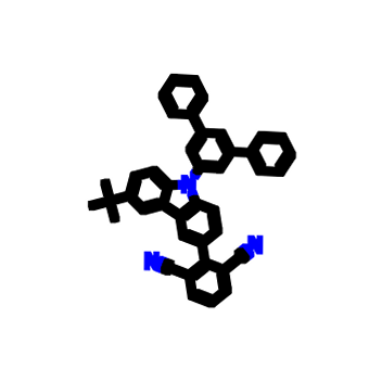 CC(C)(C)c1ccc2c(c1)c1cc(-c3c(C#N)cccc3C#N)ccc1n2-c1cc(-c2ccccc2)cc(-c2ccccc2)c1